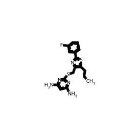 CCCc1sc(-c2cccc(F)c2)nc1CSc1nc(N)cc(N)n1